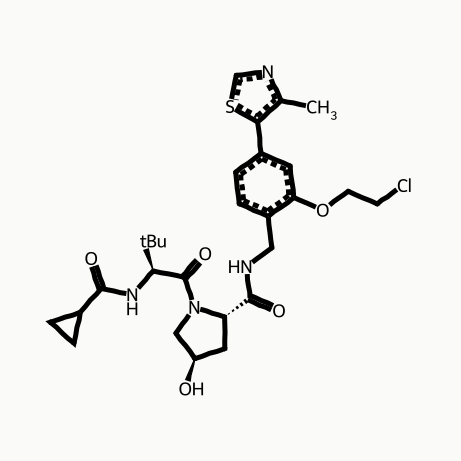 Cc1ncsc1-c1ccc(CNC(=O)[C@@H]2C[C@@H](O)CN2C(=O)[C@@H](NC(=O)C2CC2)C(C)(C)C)c(OCCCl)c1